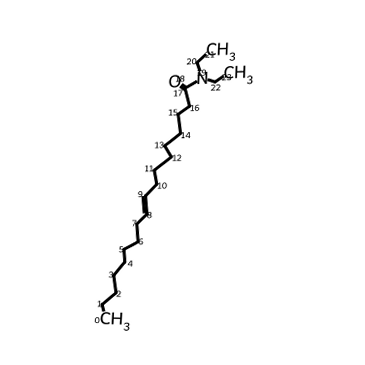 CCCCCCCCC=CCCCCCCCC(=O)N(CC)CC